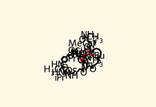 CC[C@H](C)[C@@H]([C@@H](CC(=O)N1CCC[C@H]1[C@H](OC)[C@@H](C)C(N)=O)OC)N(C)C(=O)[C@H](C)NC(=O)[C@H](C(C)C)N(C)C(=O)OCc1ccc(NC(=O)[C@H](C)NC(=O)[C@@H](NC(=O)CSCCC(=O)N2CN3CN(C2)C(=O)CCSC2CCCCCC(CCCC3=O)CCC2)C(C)C)cc1